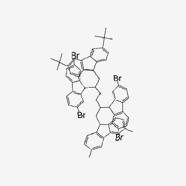 Cc1ccc2c(c1)-c1cc(C)ccc1C2CC(CCC(CC1c2ccc(C(C)(C)C)cc2-c2cc(C(C)(C)C)ccc21)C1c2cc(Br)ccc2-c2ccc(Br)cc21)C1c2cc(Br)ccc2-c2ccc(Br)cc21